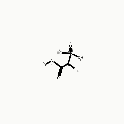 O=C(NO)C(F)P(=O)(O)O